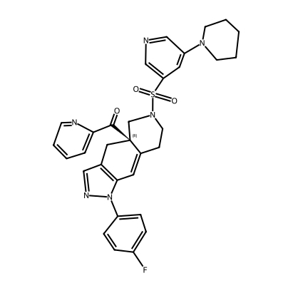 O=C(c1ccccn1)[C@]12Cc3cnn(-c4ccc(F)cc4)c3C=C1CCN(S(=O)(=O)c1cncc(N3CCCCC3)c1)C2